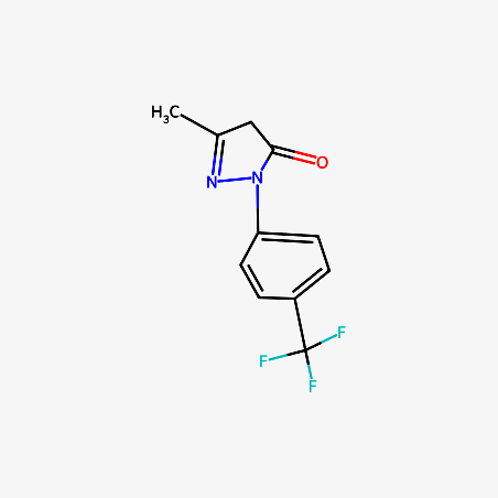 CC1=NN(c2ccc(C(F)(F)F)cc2)C(=O)C1